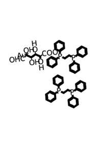 O=C[C@H](O)[C@@H](O)[C@H](O)[C@H](O)C(=O)[O-].[Au+].c1ccc(P(CCP(c2ccccc2)c2ccccc2)c2ccccc2)cc1.c1ccc(P(CCP(c2ccccc2)c2ccccc2)c2ccccc2)cc1